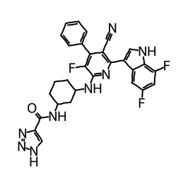 N#Cc1c(-c2c[nH]c3c(F)cc(F)cc23)nc(NC2CCCC(NC(=O)c3c[nH]nn3)C2)c(F)c1-c1ccccc1